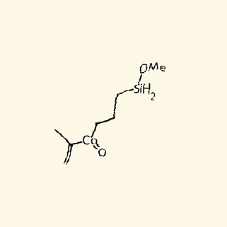 C=[C](C)[Co](=[O])[CH2]CC[SiH2]OC